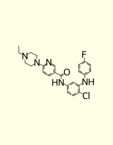 CCN1CCN(c2ccc(C(=O)Nc3ccc(Cl)c(Nc4ccc(F)cc4)c3)cn2)CC1